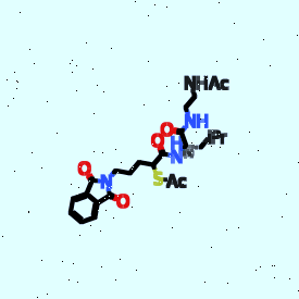 CC(=O)NCCNC(=O)[C@H](CC(C)C)NC(=O)C(CCCN1C(=O)c2ccccc2C1=O)SC(C)=O